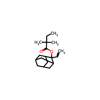 C=CC1(OC(=O)C(C)(C)CC)C2CC3CC(C2)CC1C3